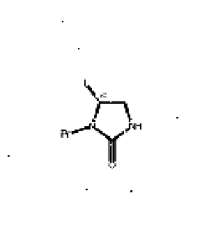 CC(C)N1C(=O)NC[C@@H]1I